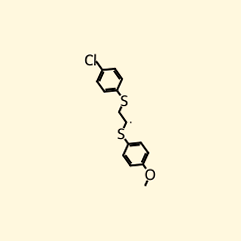 COc1ccc(S[CH]CSc2ccc(Cl)cc2)cc1